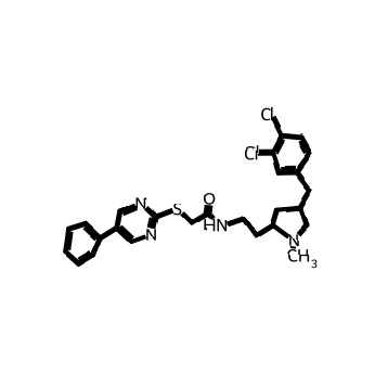 CN1CC(Cc2ccc(Cl)c(Cl)c2)CC1CCNC(=O)CSc1ncc(-c2ccccc2)cn1